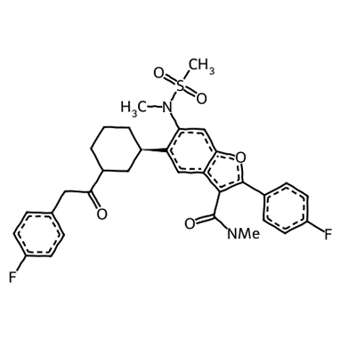 CNC(=O)c1c(-c2ccc(F)cc2)oc2cc(N(C)S(C)(=O)=O)c([C@@H]3CCCC(C(=O)Cc4ccc(F)cc4)C3)cc12